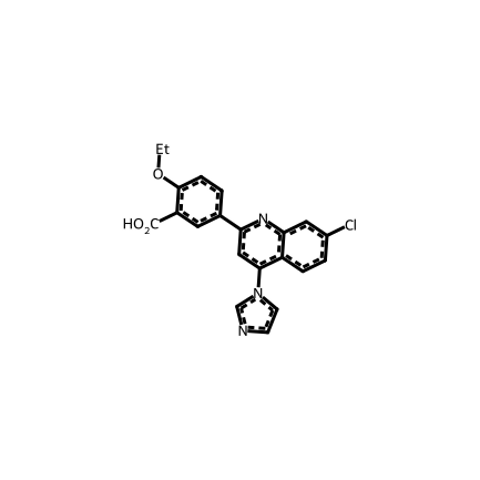 CCOc1ccc(-c2cc(-n3ccnc3)c3ccc(Cl)cc3n2)cc1C(=O)O